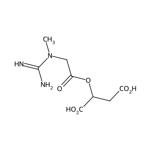 CN(CC(=O)OC(CC(=O)O)C(=O)O)C(=N)N